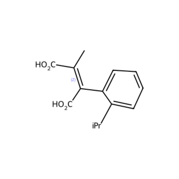 C/C(C(=O)O)=C(/C(=O)O)c1ccccc1C(C)C